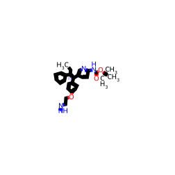 CC/C(=C(/c1ccc(OCCN=N)cc1)c1ccc(NC(=O)OC(C)(C)C)nc1)c1ccccc1